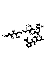 CC(=O)N1CCCC1C(=O)N[C@@H](CC(C)C)C(=O)NC(Cc1cnc[nH]1)C(=O)N[C@@H](CO)C(=O)NCO/N=C/C(O)C(O)C(O)C(O)CO